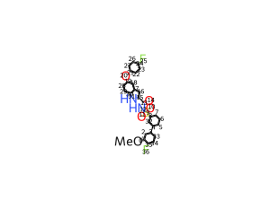 COc1cc(-c2cccc(S(=O)(=O)NC(=O)c3cc4cc(Oc5ccc(F)cc5)ccc4[nH]3)c2)ccc1F